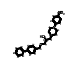 O=[N+]([O-])c1ccc(N2CCN(C[C@H](O)COCc3ccc(-c4ccccc4)cc3)CC2)cc1